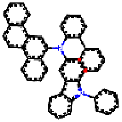 c1ccc(-c2ccccc2N(c2ccc3c(c2)c2ccccc2n3-c2ccccc2)c2cc3c4ccccc4ccc3c3ccccc23)cc1